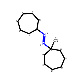 N#CC1(N=NC2CCCCCC2)CCCCCC1